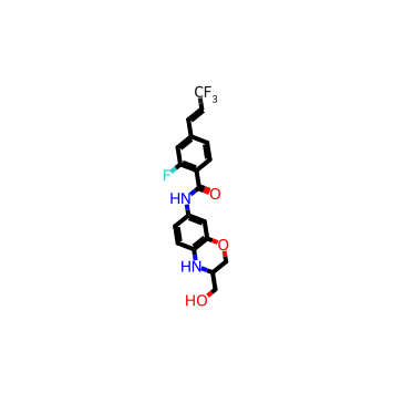 O=C(Nc1ccc2c(c1)OCC(CO)N2)c1ccc(/C=C/C(F)(F)F)cc1F